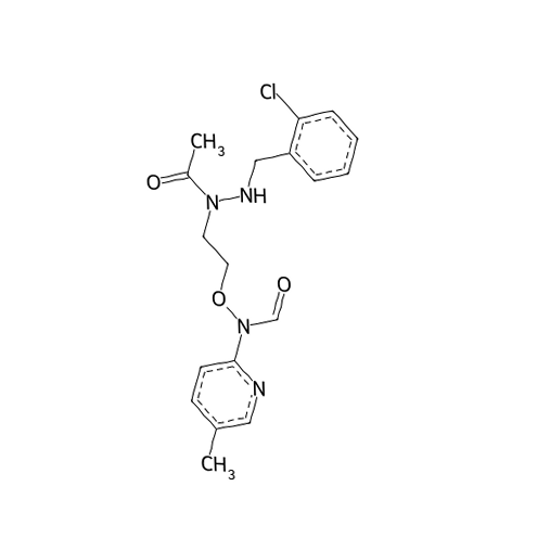 CC(=O)N(CCON(C=O)c1ccc(C)cn1)NCc1ccccc1Cl